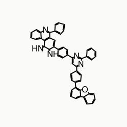 N=C1C(=N)c2c(c(-c3ccccc3)nc3ccccc23)C=C1c1ccc(-c2cc(-c3ccc(-c4cccc5c4oc4ccccc45)cc3)nc(-c3ccccc3)n2)cc1